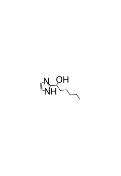 CCCCCC(O)c1ncc[nH]1